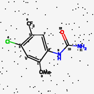 COc1cc(Cl)c(C(F)(F)F)cc1NC(N)=O